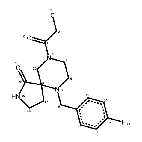 O=C(CCl)N1CCN(Cc2ccc(F)cc2)C2(CCNC2=O)C1